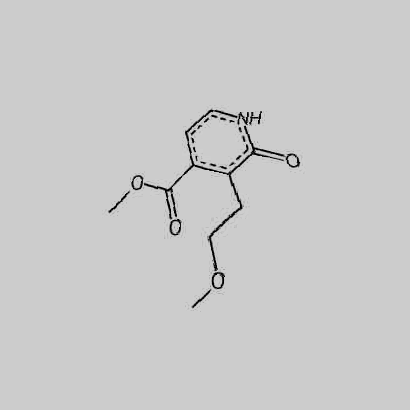 COCCc1c(C(=O)OC)cc[nH]c1=O